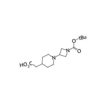 CC(C)(C)OC(=O)N1CC(N2CCC(CC(=O)O)CC2)C1